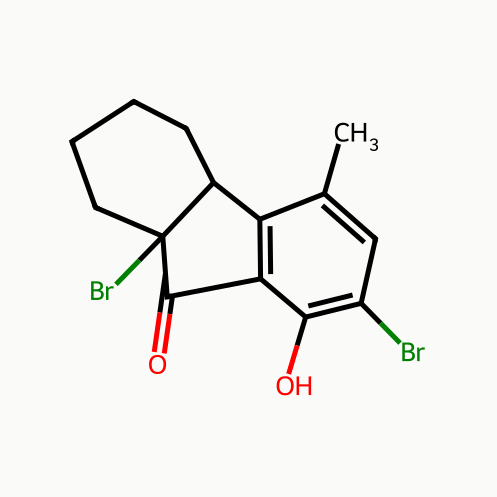 Cc1cc(Br)c(O)c2c1C1CCCCC1(Br)C2=O